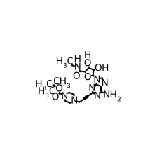 CCNC(=O)C1OC(n2cnc3c(N)nc(C#CCN4CCN(C(=O)OC(C)(C)C)CC4)nc32)C(O)C1O